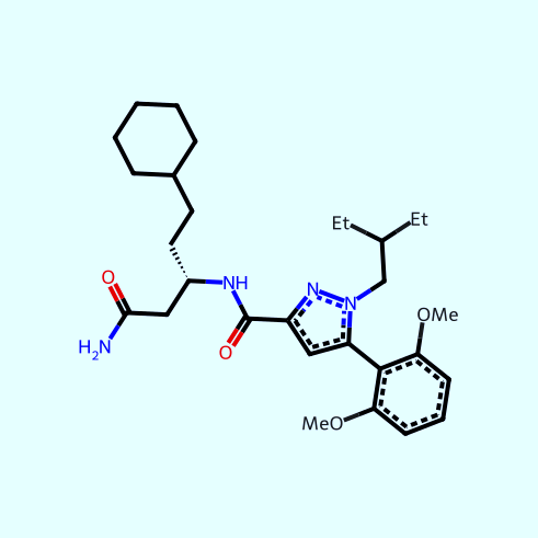 CCC(CC)Cn1nc(C(=O)N[C@@H](CCC2CCCCC2)CC(N)=O)cc1-c1c(OC)cccc1OC